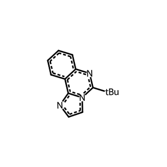 CC(C)(C)c1nc2ccccc2c2nccn12